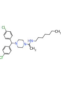 C=C(NCCCCCCC)N1CCN(C(c2ccc(Cl)cc2)c2ccc(Cl)cc2)CC1